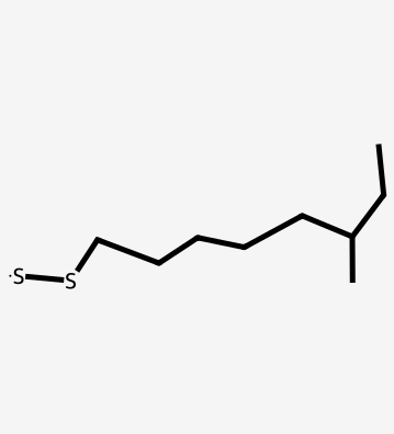 CCC(C)CCCCCS[S]